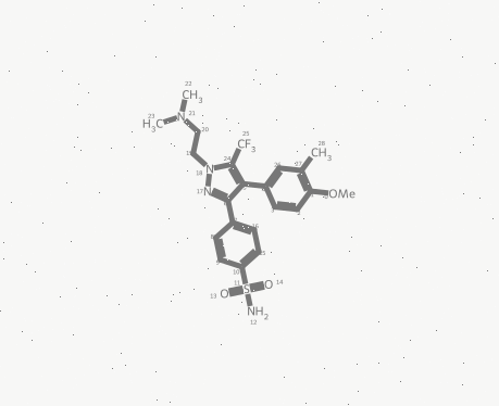 COc1ccc(-c2c(-c3ccc(S(N)(=O)=O)cc3)nn(CCN(C)C)c2C(F)(F)F)cc1C